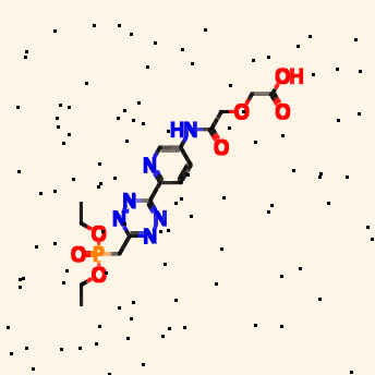 CCOP(=O)(Cc1nnc(-c2ccc(NC(=O)COCC(=O)O)cn2)nn1)OCC